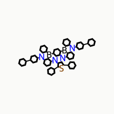 c1ccc(-c2ccc(N3c4ccccc4B4c5ccc6c7c5N(c5cccc3c54)c3c(-c4ccccc4)sc(-c4ccccc4)c3N7c3cccc4c3B6c3ccccc3N4c3ccc(-c4ccccc4)cc3)cc2)cc1